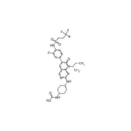 CC[C@H](C)n1c(=O)c(-c2ccc(NS(=O)(=O)CCC(F)(F)F)c(F)c2)cc2cnc(NC3CCC(NC(=O)O)CC3)nc21